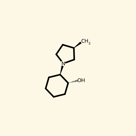 C[C@@H]1CCN([C@@H]2CCCC[C@H]2O)C1